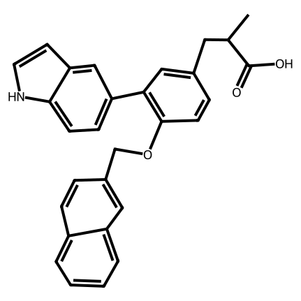 CC(Cc1ccc(OCc2ccc3ccccc3c2)c(-c2ccc3[nH]ccc3c2)c1)C(=O)O